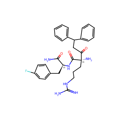 N=C(N)NCCC[C@](N)(C(=O)CC(c1ccccc1)c1ccccc1)C(=O)N[C@@H](Cc1ccc(F)cc1)C(N)=O